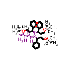 C[Si](C)(C)OC=CC(c1ccccc1)P(PPPPP)P(C(C=CO[Si](C)(C)C)c1ccccc1)C(C=CO[Si](C)(C)C)c1ccccc1